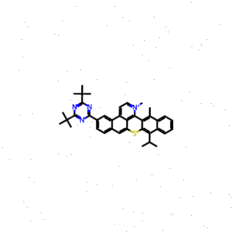 Cc1c2c(c(C(C)C)c3ccccc13)Sc1cc3ccc(-c4nc(C(C)(C)C)nc(C(C)(C)C)n4)cc3c3cc[n+](C)c-2c13